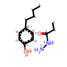 CCC(=O)NN.CCCCc1ccc(O)cc1